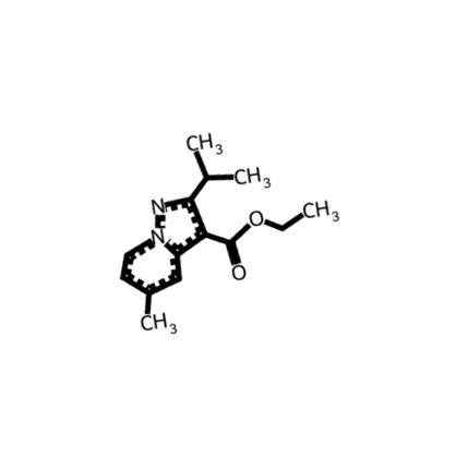 CCOC(=O)c1c(C(C)C)nn2ccc(C)cc12